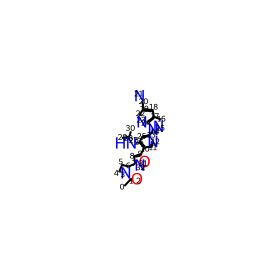 CC(=O)N1CCC1c1cc(-c2cnc(-n3ncc4cc(C#N)cnc43)cc2NC(C)C)on1